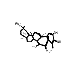 Cc1c(O)c(O)cc2c1C(S(=O)(=O)O)C(O)C1[C@@]2(C)CC[C@@]2(C)[C@@H]3C[C@](C)(C(=O)O)CC[C@]3(C)CC[C@]12C